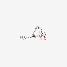 C=CCC[C@H]1[C@@H](CCCC)[C@H]1COC(=O)N1C(=O)CCC1=O